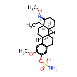 CC[C@]12CC[C@@H]3c4cc(OC)c(OS(N)(=O)=O)cc4CC[C@H]3[C@@H]1CCC/C2=N\OC